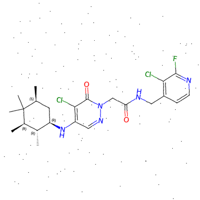 C[C@@H]1[C@@H](C)C(C)(C)[C@@H](C)C[C@H]1Nc1cnn(CC(=O)NCc2ccnc(F)c2Cl)c(=O)c1Cl